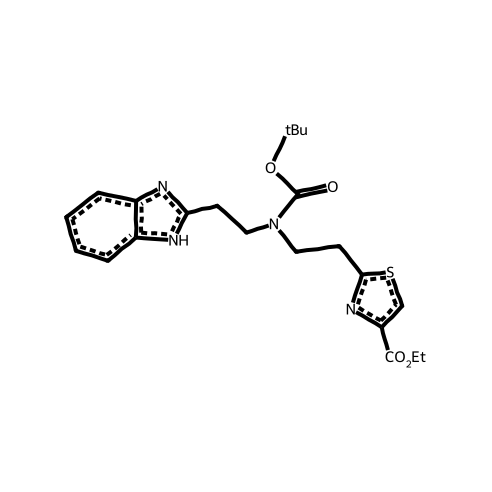 CCOC(=O)c1csc(CCN(CCc2nc3ccccc3[nH]2)C(=O)OC(C)(C)C)n1